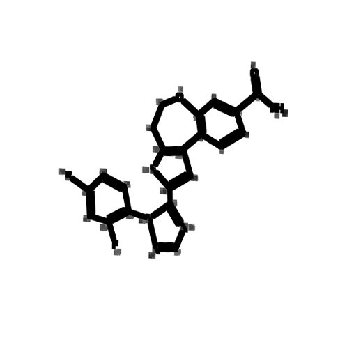 NC(=O)c1ccc2c(c1)OCCc1sc(-c3ncnn3-c3ccc(F)cc3F)cc1-2